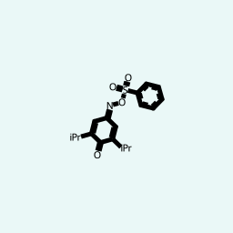 CC(C)C1=CC(=NOS(=O)(=O)c2ccccc2)C=C(C(C)C)C1=O